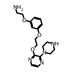 NCCOc1cccc(OCCOc2nccnc2N2CCNCC2)c1